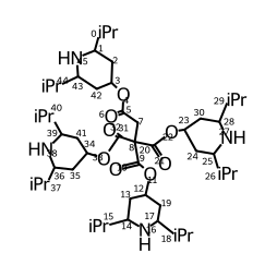 CC(C)C1CC(OC(=O)CC(C(=O)OC2CC(C(C)C)NC(C(C)C)C2)(C(=O)OC2CC(C(C)C)NC(C(C)C)C2)C(=O)OC2CC(C(C)C)NC(C(C)C)C2)CC(C(C)C)N1